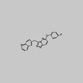 Fc1ccc(Oc2ccc3nnc(Cc4ccc5ncccc5c4)n3n2)cc1